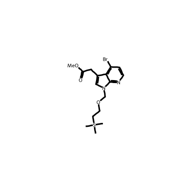 COC(=O)Cc1cn(COCCS(C)(C)C)c2nccc(Br)c12